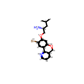 CC(C)C[C@H](N)COc1cc2c(cc1Br)-c1ncccc1CO2